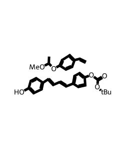 C=Cc1ccc(OC(C)OC)cc1.CC(C)(C)OC(=O)Oc1ccc(C=CC=Cc2ccc(O)cc2)cc1